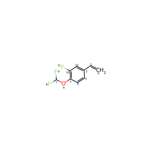 C=Cc1ccc(OC(F)F)c(F)c1